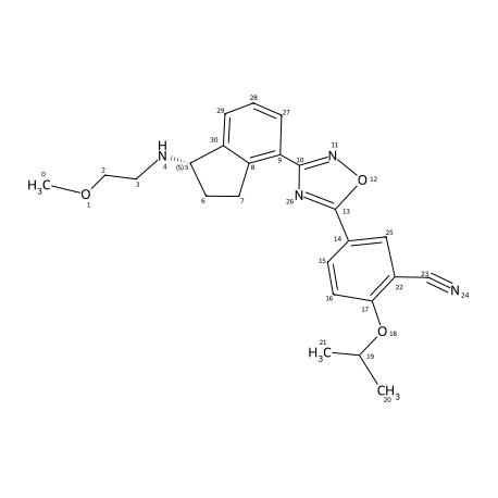 COCCN[C@H]1CCc2c(-c3noc(-c4ccc(OC(C)C)c(C#N)c4)n3)cccc21